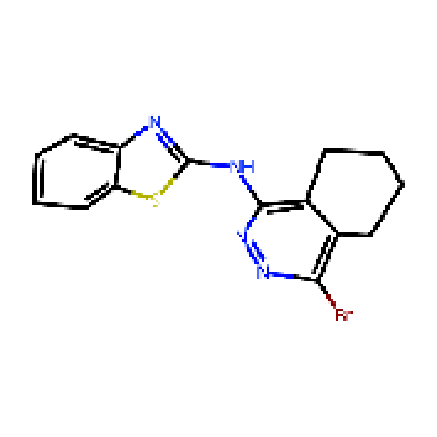 Brc1nnc(Nc2nc3ccccc3s2)c2c1CCCC2